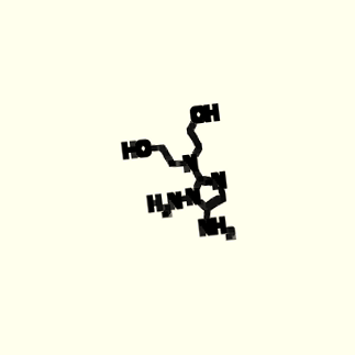 Nc1cnc(N(CCO)CCO)n1N